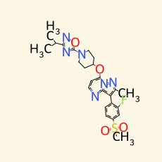 Cc1nn2c(OC3CCN(c4nc(C(C)C)no4)CC3)ccnc2c1-c1ccc(S(C)(=O)=O)cc1F